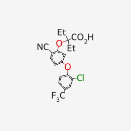 CCC(CC)(Oc1cc(Oc2ccc(C(F)(F)F)cc2Cl)ccc1C#N)C(=O)O